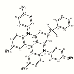 CC(C)c1ccc(N2c3ccc(C(C)C)cc3B3c4cc(C(C)C)ccc4N(c4ccc(C(C)C)cc4)c4cc(C(C)(C)c5ccccc5)cc2c43)cc1